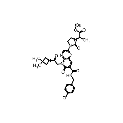 CC(C(=O)OC(C)(C)C)N1CCN(c2cnc3c(cc(C(=O)NCc4ccc(Cl)cc4)c(=O)n3CC(=O)N3CC(C)(C)C3)n2)C1=O